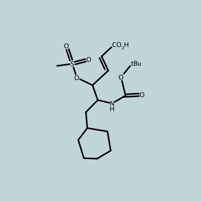 CC(C)(C)OC(=O)NC(CC1CCCCC1)C(C=CC(=O)O)OS(C)(=O)=O